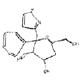 OCC1CC(O)C(O)C(c2ccccc2)(c2cc[nH]n2)O1